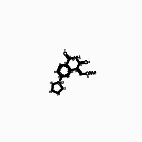 COC=C1C(=O)NC(=O)c2ccc(N3CCCC3)cc21